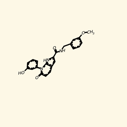 COc1cccc(CNC(=O)c2cc3ccc(=O)n(-c4cccc(O)c4)c3[nH]2)c1